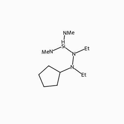 CCN(C1CCCC1)N(CC)[SiH](NC)NC